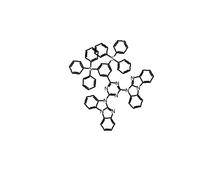 c1ccc(S(c2ccccc2)(c2ccccc2)c2cc(-c3nc(-n4c5ccccc5n5c6ccccc6nc45)nc(-n4c5ccccc5n5c6ccccc6nc45)n3)cc(S(c3ccccc3)(c3ccccc3)c3ccccc3)c2)cc1